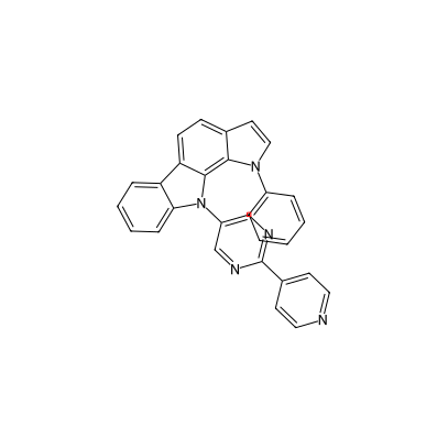 c1ccc(-n2ccc3ccc4c5ccccc5n(-c5cnc(-c6ccncc6)nc5)c4c32)cc1